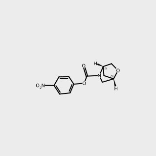 O=C(Oc1ccc([N+](=O)[O-])cc1)N1C[C@@H]2C[C@H]1CO2